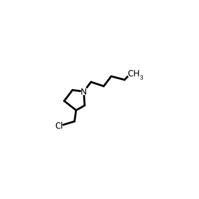 CCCCCN1CCC(CCl)C1